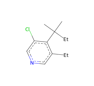 CCc1cncc(Cl)c1C(C)(C)CC